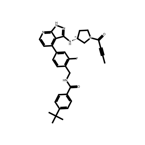 CC#CC(=O)N1CC[C@@H](Nc2n[nH]c3nccc(-c4ccc(CNC(=O)c5ccc(C(C)(C)C)cc5)c(F)c4)c23)C1